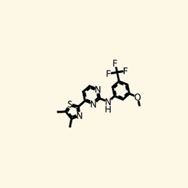 COc1cc(Nc2nccc(-c3nc(C)c(C)s3)n2)cc(C(F)(F)F)c1